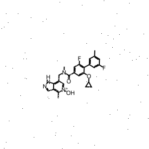 Cc1cc(F)cc(-c2c(F)cc(C(=O)N(C)Cc3c[n+](O)c(C)c4cn[nH]c34)cc2OC2CC2)c1